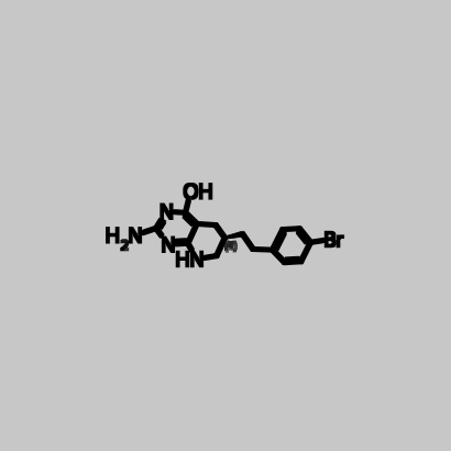 Nc1nc(O)c2c(n1)NC[C@H](CCc1ccc(Br)cc1)C2